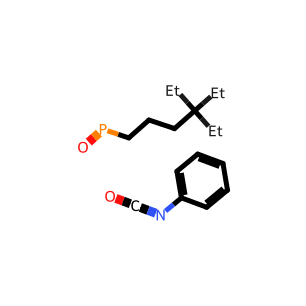 CCC(CC)(CC)CCCP=O.O=C=Nc1ccccc1